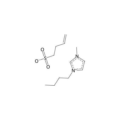 C=CCCS(=O)(=O)[O-].CCCC[n+]1ccn(C)c1